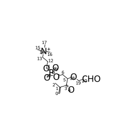 C=C(C)C(=O)C(COP(=O)([O-])OCC[N+](C)(C)C)OCC=O